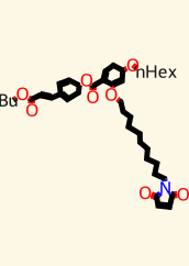 CCCCCCOC1C=C(OCCCCCCCCCCCN2C(=O)C=CC2=O)C(C(=O)OC2C=CC(/C=C/C(=O)OCCCC)=CC2)=CC1